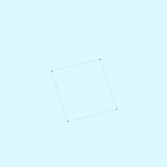 C1CCC1